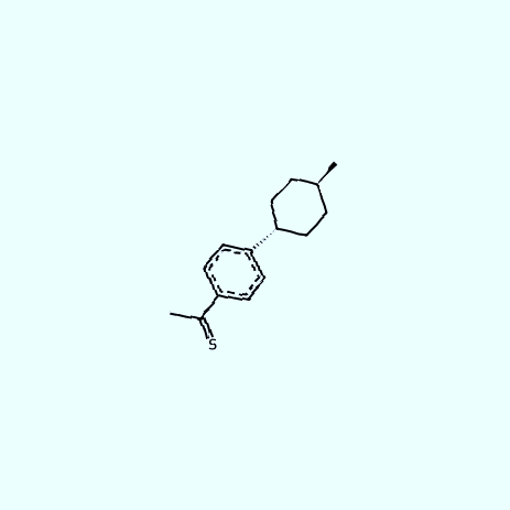 CC(=S)c1ccc([C@H]2CC[C@H](C)CC2)cc1